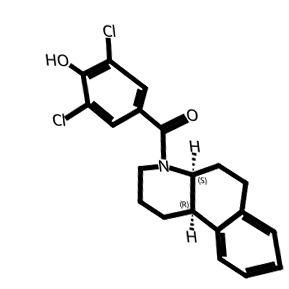 O=C(c1cc(Cl)c(O)c(Cl)c1)N1CCC[C@@H]2c3ccccc3CC[C@@H]21